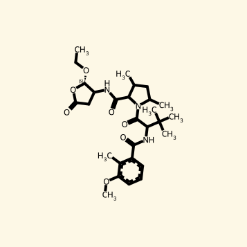 CCO[C@H]1OC(=O)CC1NC(=O)C1C(C)CC(C)N1C(=O)C(NC(=O)c1cccc(OC)c1C)C(C)(C)C